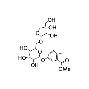 COC(=O)c1cc(OC2OC(COC3OCC(O)(CO)C3O)C(O)C(O)C2O)ccc1C